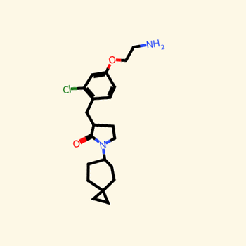 NCCOc1ccc(CC2CCN(C3CCC4(CC3)CC4)C2=O)c(Cl)c1